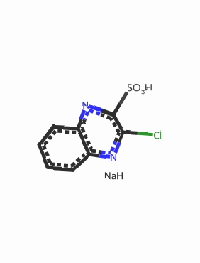 O=S(=O)(O)c1nc2ccccc2nc1Cl.[NaH]